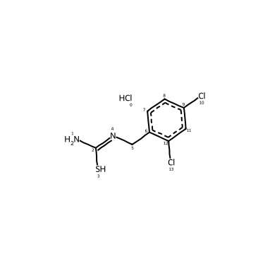 Cl.NC(S)=NCc1ccc(Cl)cc1Cl